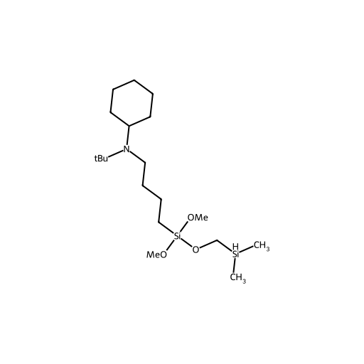 CO[Si](CCCCN(C1CCCCC1)C(C)(C)C)(OC)OC[SiH](C)C